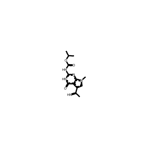 CC(=N)c1cn(C)c2nc(NC(=O)OC(C)C)[nH]c(=O)c12